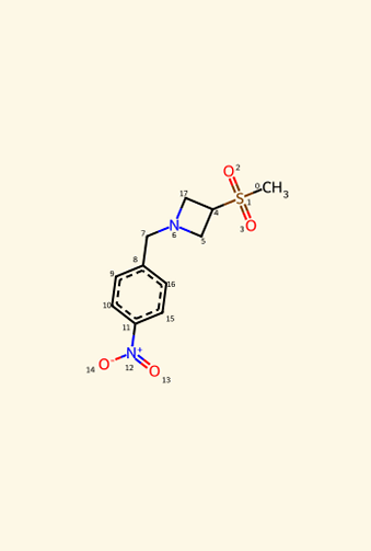 CS(=O)(=O)C1CN(Cc2ccc([N+](=O)[O-])cc2)C1